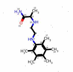 Cc1c(C)c(C)c(NCCNC(C)C(N)=O)c(C)c1C